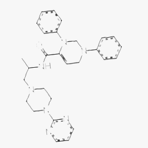 CC(CN1CCN(c2ncccn2)CC1)NC(=O)C1=CCN(c2ccccc2)CN1c1ccccc1